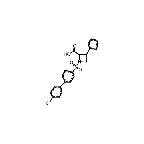 O=C(O)C1C(c2ccccc2)CN1S(=O)(=O)c1ccc(-c2ccc(Cl)cc2)cc1